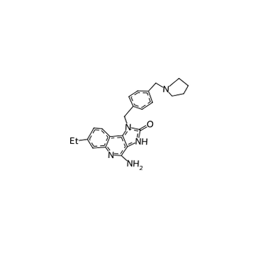 CCc1ccc2c(c1)nc(N)c1[nH]c(=O)n(Cc3ccc(CN4CCCC4)cc3)c12